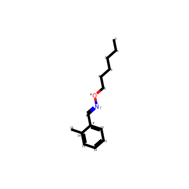 CCCCCCO/N=[C]/c1ccccc1C